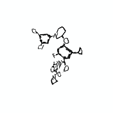 O=C(NS(=O)(=O)N1CCC1)c1cc(C2CC2)c(OC2CCCN(c3cc(Cl)cc(Cl)c3)C2)cc1F